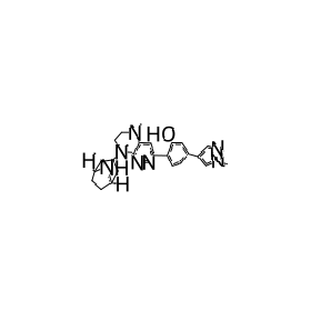 CN1CCN(C2C[C@H]3CC[C@@H](C2)N3)c2nnc(-c3ccc(-c4cnn(C)c4)cc3O)cc21